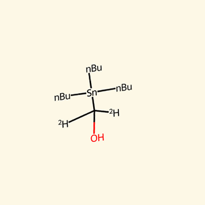 [2H][C]([2H])(O)[Sn]([CH2]CCC)([CH2]CCC)[CH2]CCC